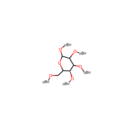 CCCCOCC1OC(OCCCC)C(OCCCC)C(OCCCC)[C@H]1OCCCC